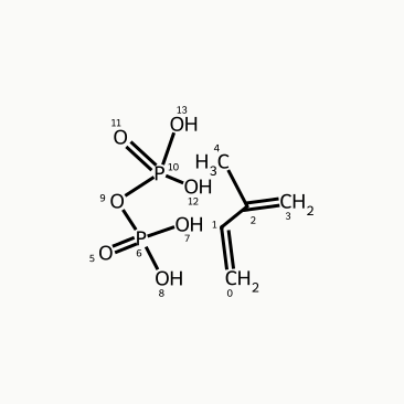 C=CC(=C)C.O=P(O)(O)OP(=O)(O)O